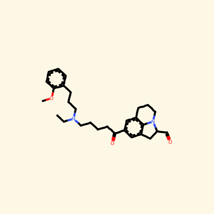 CCN(CCCCC(=O)c1cc2c3c(c1)CC(C=O)N3CCC2)CCCc1ccccc1OC